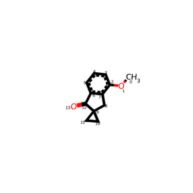 COc1cccc2c1CC1(CC1)C2=O